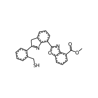 COC(=O)c1cccc2oc(-c3cccc4c3N=C(c3ccccc3CS)C4)nc12